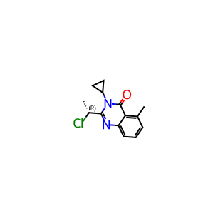 Cc1cccc2nc([C@@H](C)Cl)n(C3CC3)c(=O)c12